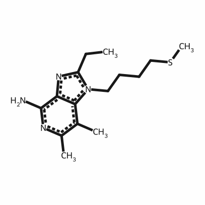 CCc1nc2c(N)nc(C)c(C)c2n1CCCCSC